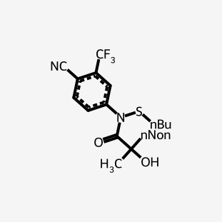 CCCCCCCCCC(C)(O)C(=O)N(SCCCC)c1ccc(C#N)c(C(F)(F)F)c1